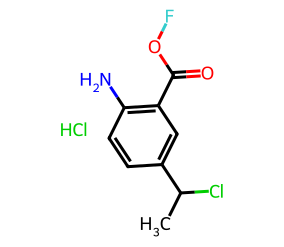 CC(Cl)c1ccc(N)c(C(=O)OF)c1.Cl